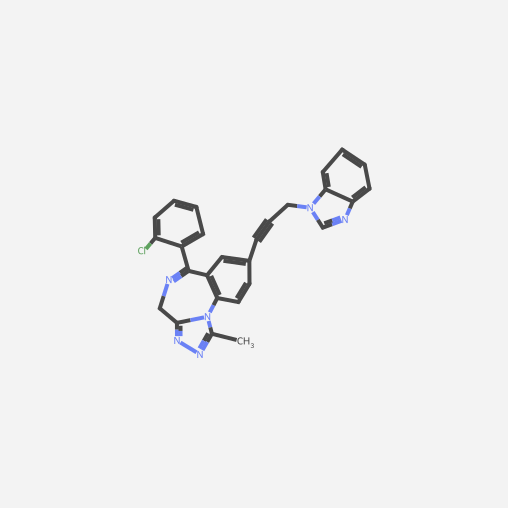 Cc1nnc2n1-c1ccc(C#CCn3cnc4ccccc43)cc1C(c1ccccc1Cl)=NC2